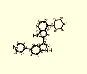 c1cc(-c2ccc3[nH]nc(-c4cc5c(N6CCCCC6)ccnc5[nH]4)c3c2)ccn1